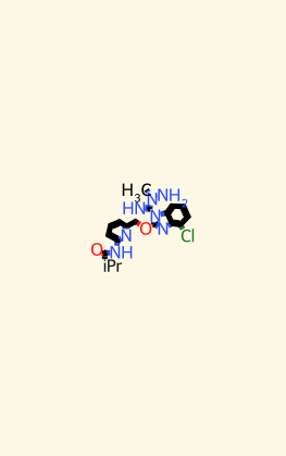 CC(C)C(=O)Nc1cccc(COc2nc3c(Cl)cccc3n2C(=N)N(C)N)n1